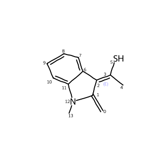 C=c1/c(=C(\C)S)c2ccccc2n1C